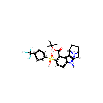 Cn1c2c(c3c(C(=O)OC(C)(C)C)c(S(=O)(=O)c4ccc(C(F)(F)F)cc4)ccc31)C1CCC(C2)N1